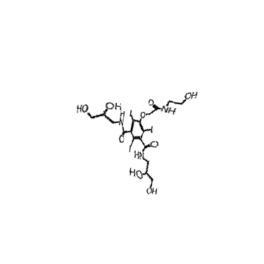 O=C(COc1c(I)c(C(=O)NCC(O)CO)c(I)c(C(=O)NCC(O)CO)c1I)NCCO